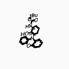 CC(C)(C)OC(=O)N[C@@H]1CCC[C@H](N2c3ccccc3Oc3ccccc32)[C@H]1O